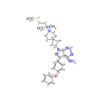 CSCCC(C)(C)N1CCC2(CC1)CC(n1nc(-c3ccc(Oc4ccccc4)cc3)c3c(N)ncnc31)C2